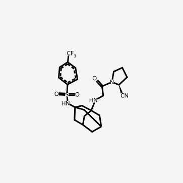 N#C[C@@H]1CCCN1C(=O)CNC12CC3CC(C1)CC(NS(=O)(=O)c1ccc(C(F)(F)F)cc1)(C3)C2